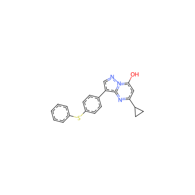 Oc1cc(C2CC2)nc2c(-c3ccc(Sc4ccccc4)cc3)cnn12